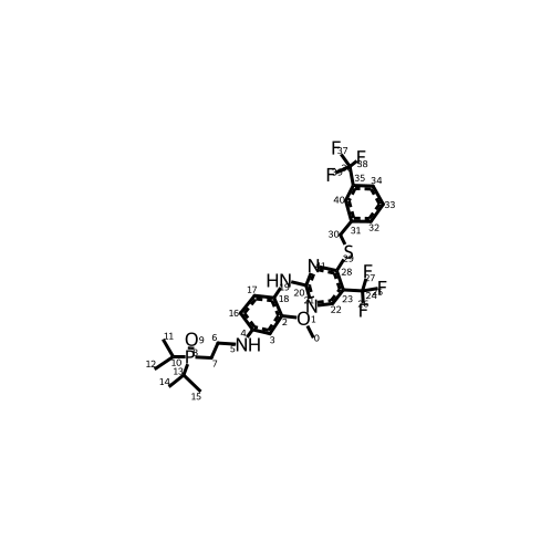 COc1cc(NCCP(=O)(C(C)C)C(C)C)ccc1Nc1ncc(C(F)(F)F)c(SCc2cccc(C(F)(F)F)c2)n1